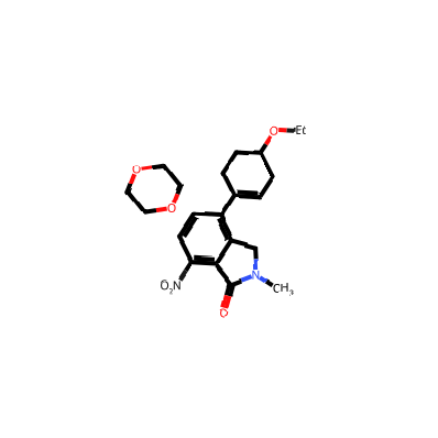 C1COCCO1.CCOC1CC=C(c2ccc([N+](=O)[O-])c3c2CN(C)C3=O)CC1